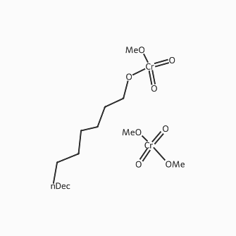 CCCCCCCCCCCCCCCC[O][Cr](=[O])(=[O])[O]C.C[O][Cr](=[O])(=[O])[O]C